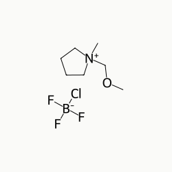 COC[N+]1(C)CCCC1.F[B-](F)(F)Cl